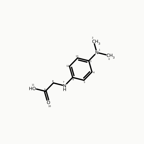 CN(C)c1ccc(NCC(=O)O)cc1